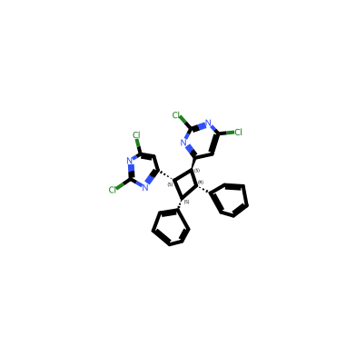 Clc1cc([C@H]2[C@H](c3ccccc3)[C@H](c3ccccc3)[C@@H]2c2cc(Cl)nc(Cl)n2)nc(Cl)n1